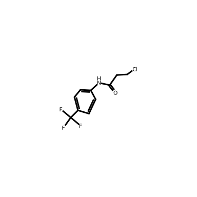 O=C(CCCl)Nc1ccc(C(F)(F)F)cc1